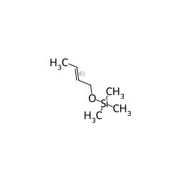 C/C=C/CO[Si](C)(C)C